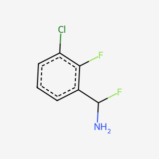 NC(F)c1cccc(Cl)c1F